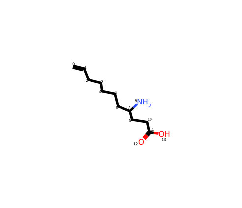 C=CCCCCCC(N)CCC(=O)O